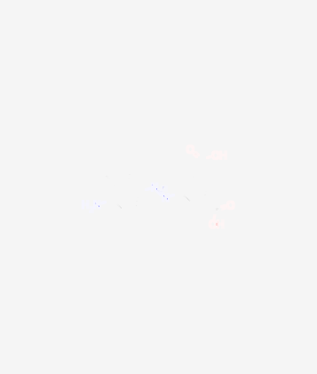 Nc1ccc(/N=N/c2cc(C(=O)O)cc(C(=O)O)c2)c2ccccc12